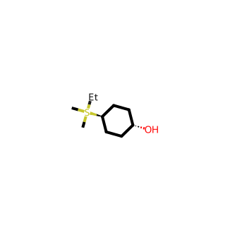 CCS(C)(C)[C@H]1CC[C@H](O)CC1